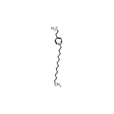 CCCCCCCCCCCCC[n+]1ccc(CCC)cc1